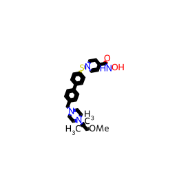 COCC(C)(C)N1CCN(Cc2ccc(-c3ccc(SN4C=CC(C(=O)NO)CC4)cc3)cc2)CC1